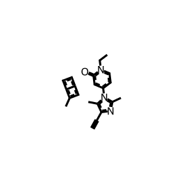 C#Cc1nc(C)n(-c2ccn(CC)c(=O)c2)c1C.Cc1cc2ccc1-2